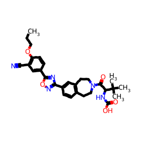 CCCOc1ccc(-c2nc(-c3ccc4c(c3)CCN(C(=O)C(NC(=O)O)C(C)(C)C)CC4)no2)cc1C#N